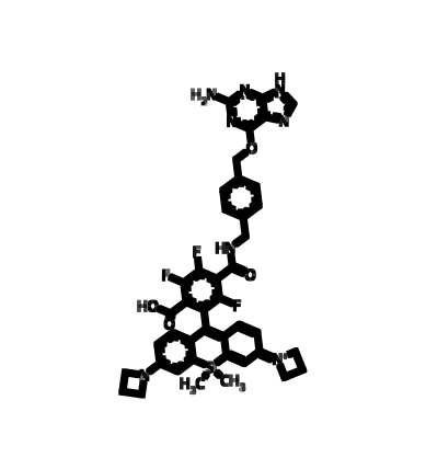 C[Si]1(C)C2=CC(=[N+]3CCC3)C=CC2=C(c2c(F)c(C(=O)NCc3ccc(COc4nc(N)nc5[nH]cnc45)cc3)c(F)c(F)c2C(=O)O)c2ccc(N3CCC3)cc21